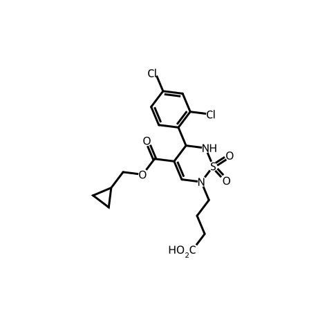 O=C(O)CCCN1C=C(C(=O)OCC2CC2)C(c2ccc(Cl)cc2Cl)NS1(=O)=O